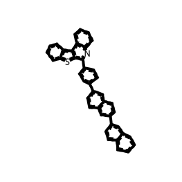 c1ccc2cc(-c3ccc4cc(-c5ccc(-c6nc7ccccc7c7c6sc6ccccc67)cc5)ccc4c3)ccc2c1